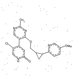 COc1ccc(C2CC2COc2nc(C)ncc2-c2cc(=O)[nH]cc2Cl)nc1